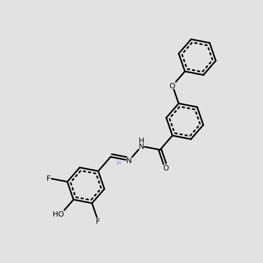 O=C(N/N=C/c1cc(F)c(O)c(F)c1)c1cccc(Oc2ccccc2)c1